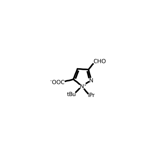 CC(C)[N+]1(C(C)(C)C)N=C(C=O)C=C1C(=O)[O-]